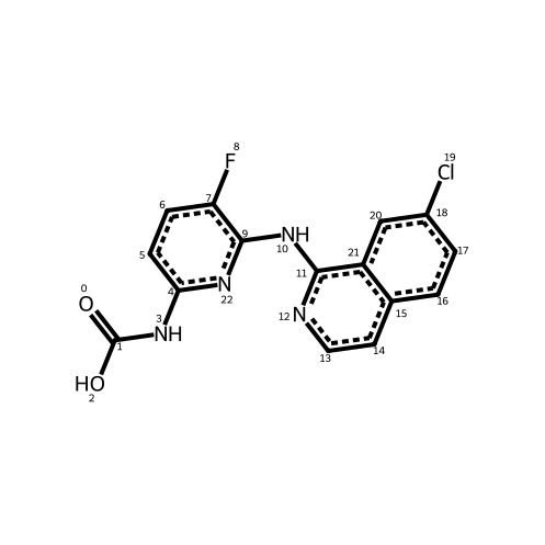 O=C(O)Nc1ccc(F)c(Nc2nccc3ccc(Cl)cc23)n1